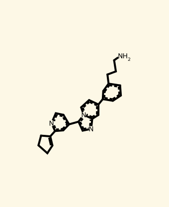 NCCCc1cccc(-c2ccn3c(-c4ccnc(C5=CCCC5)c4)cnc3c2)c1